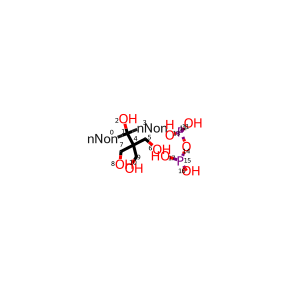 CCCCCCCCCC(O)(CCCCCCCCC)C(CO)(CO)CO.OP(O)OP(O)O